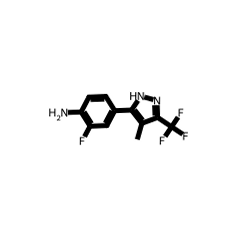 Cc1c(C(F)(F)F)n[nH]c1-c1ccc(N)c(F)c1